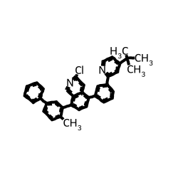 Cc1ccc(-c2ccccc2)cc1-c1ccc(-c2cccc(-c3cc(C(C)(C)C)ccn3)c2)c2cc(Cl)ncc12